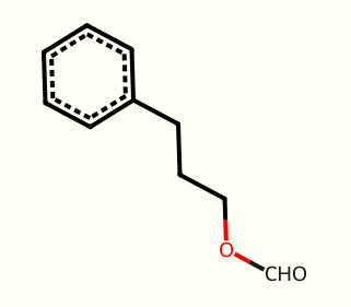 O=COCCCc1ccccc1